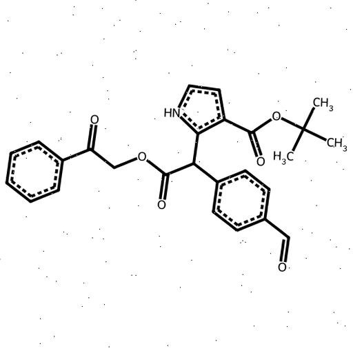 CC(C)(C)OC(=O)c1cc[nH]c1C(C(=O)OCC(=O)c1ccccc1)c1ccc(C=O)cc1